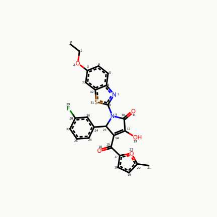 CCOc1ccc2nc(N3C(=O)C(O)=C(C(=O)c4ccc(C)o4)C3c3cccc(F)c3)sc2c1